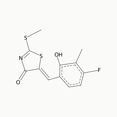 CSC1=NC(=O)C(=Cc2ccc(F)c(C)c2O)S1